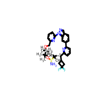 CC(C)(C[C@H](c1cccc(-c2ccc3cnn(-c4cccc(CO[Si](C)(C)C(C)(C)C)n4)c3c2)n1)C1CC(F)(F)C1)[S+](N)[O-]